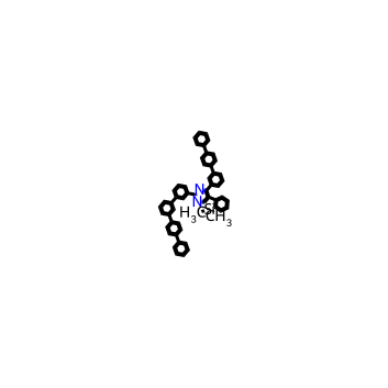 C[Si]1(C)c2ccccc2-c2c(-c3cccc(-c4ccc(-c5ccccc5)cc4)c3)nc(-c3cccc(-c4cccc(-c5ccc(-c6ccccc6)cc5)c4)c3)nc21